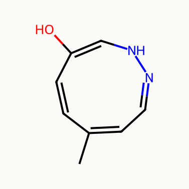 Cc1ccn[nH]cc(O)cc1